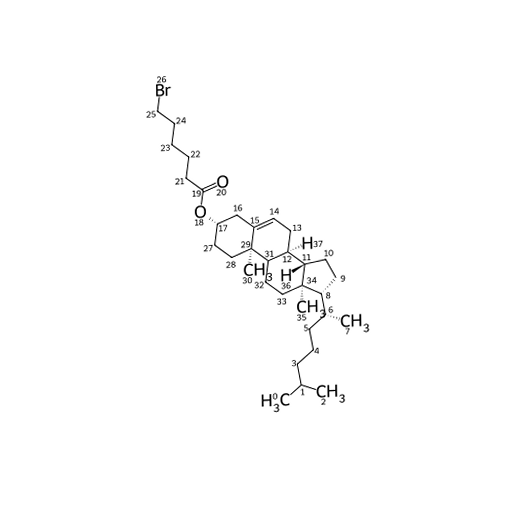 CC(C)CCC[C@@H](C)[C@H]1CC[C@H]2[C@@H]3CC=C4C[C@@H](OC(=O)CCCCCBr)CC[C@]4(C)C3CC[C@]12C